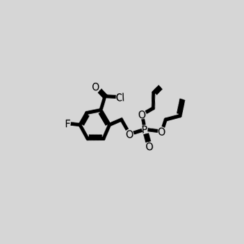 C=CCOP(=O)(OCC=C)OCc1ccc(F)cc1C(=O)Cl